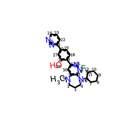 CN1CCCN([C@@H]2CCCC[C@@H]2F)c2nnc(-c3ccc(-c4cccnn4)cc3O)cc21